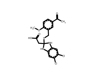 COc1ccc(C(C)=O)cc1CSC1(CC(=O)O)Nc2cc(Cl)c(Cl)cc2N1